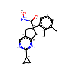 Cc1cccc([C@@]2(C(O)NO)Cc3cnc(C4CC4)nc3C2)c1C